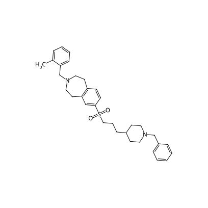 Cc1ccccc1CN1CCc2ccc(S(=O)(=O)CCCC3CCN(Cc4ccccc4)CC3)cc2CC1